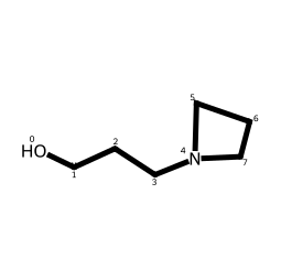 O[C]CCN1CCC1